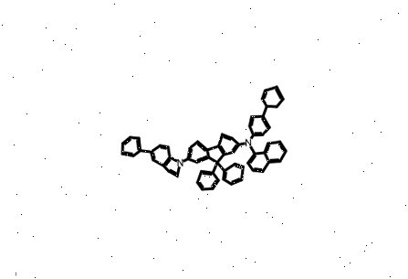 C1=CCC(c2ccc(N(c3ccc4c(c3)C(c3ccccc3)(c3ccccc3)c3cc(-n5ccc6cc(-c7ccccc7)ccc65)ccc3-4)c3cccc4ccccc34)cc2)C=C1